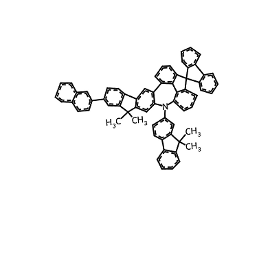 CC1(C)c2ccccc2-c2ccc(N3c4cc5c(cc4-c4cccc6c4-c4c3cccc4C63c4ccccc4-c4ccccc43)-c3ccc(-c4ccc6ccccc6c4)cc3C5(C)C)cc21